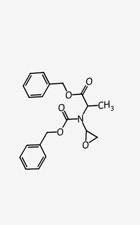 CC(C(=O)OCc1ccccc1)N(C(=O)OCc1ccccc1)C1CO1